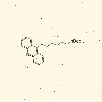 CCCCCCCCCCCCCCCCc1c2ccccc2nc2ccccc12